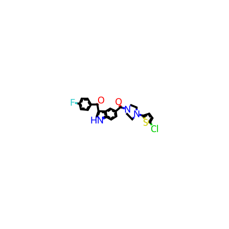 O=C(c1ccc(F)cc1)c1c[nH]c2ccc(C(=O)N3CCN(c4ccc(Cl)s4)CC3)cc12